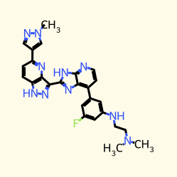 CN(C)CCNc1cc(F)cc(-c2ccnc3[nH]c(-c4n[nH]c5ccc(-c6cnn(C)c6)nc45)nc23)c1